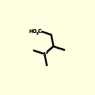 CC(CC(=O)O)[S+](C)C